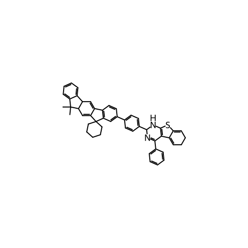 CC1(C)c2ccccc2C2C=C3C(=CC21)C1(CCCCC1)c1cc(-c2ccc(C4N=C(c5ccccc5)c5c(sc6c5=CCCC=6)N4)cc2)ccc13